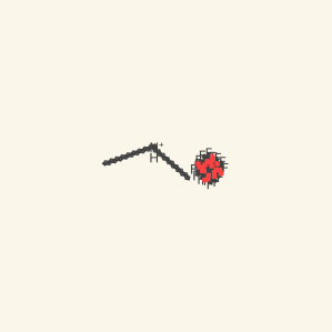 CCCCCCCCCCCCCCCCCC[NH+](C)CCCCCCCCCCCCCCCC.Fc1c(F)c(F)c2c([B-](c3c(F)c(F)c(F)c4c(F)c(F)c(F)c(F)c34)(c3c(F)c(F)c(F)c4c(F)c(F)c(F)c(F)c34)c3c(F)c(F)c(F)c4c(F)c(F)c(F)c(F)c34)c(F)c(F)c(F)c2c1F